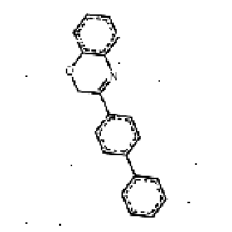 c1ccc(-c2ccc(C3=Nc4ccccc4OC3)cc2)cc1